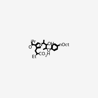 CCCCCCCCc1ccc(OC(C)C(O)C(C)n2cc(CC(CC)C(=O)O)c(C(=O)C(C)C)c2)cc1